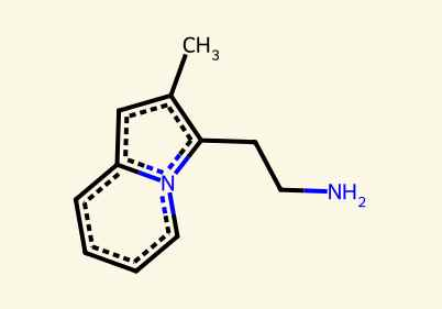 Cc1cc2ccccn2c1CCN